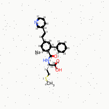 CSCC[C@H](NC(=O)c1ccc(C=Cc2cccnc2)cc1-c1ccccc1)C(=O)O.[Na]